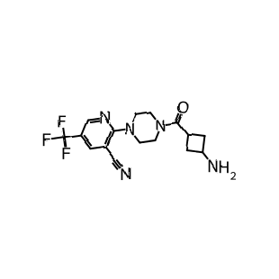 N#Cc1cc(C(F)(F)F)cnc1N1CCN(C(=O)C2CC(N)C2)CC1